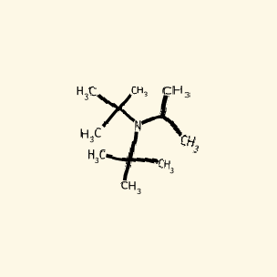 CC(C)N(C(C)(C)C)C(C)(C)C